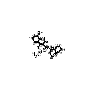 COCc1c(C(=O)NC2CCOc3ccccc32)cnc2c(Br)cccc12